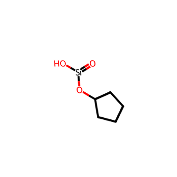 O=[Si](O)OC1CCCC1